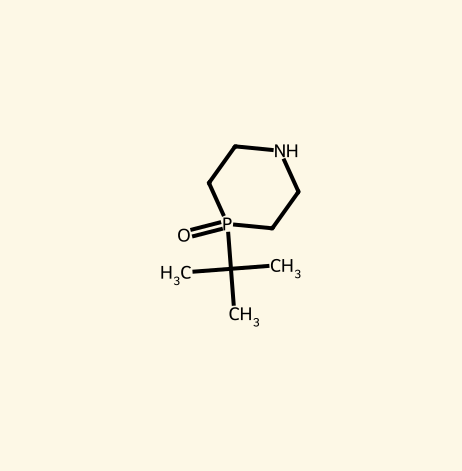 CC(C)(C)P1(=O)CCNCC1